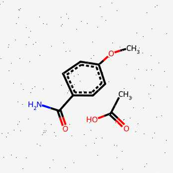 CC(=O)O.COc1ccc(C(N)=O)cc1